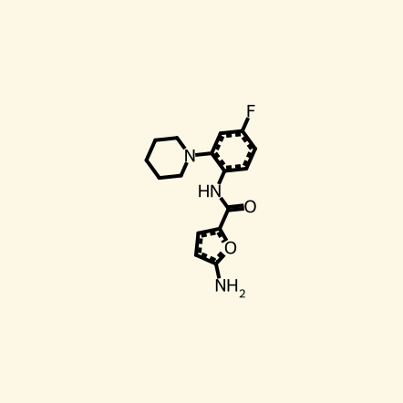 Nc1ccc(C(=O)Nc2ccc(F)cc2N2CCCCC2)o1